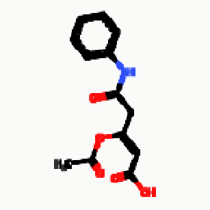 CC(=O)O/C(=C\C(=O)O)CC(=O)Nc1ccccc1